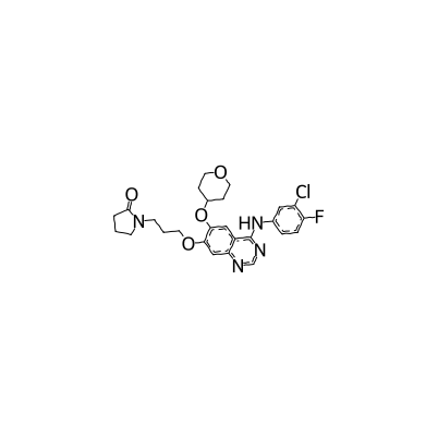 O=C1CCCN1CCCOc1cc2ncnc(Nc3ccc(F)c(Cl)c3)c2cc1OC1CCOCC1